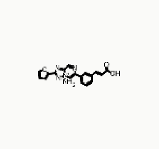 N[N+]12C=C(c3cccc(C=CC(=O)O)c3)N=CC1=NC(c1ccco1)=N2